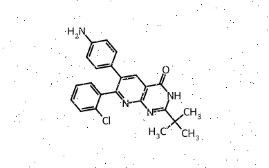 CC(C)(C)c1nc2nc(-c3ccccc3Cl)c(-c3ccc(N)cc3)cc2c(=O)[nH]1